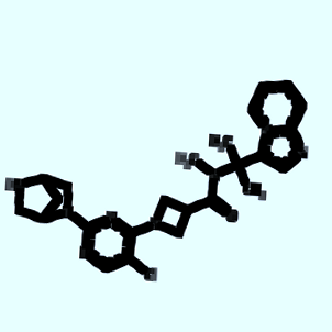 CN(C(=O)C1CN(c2nc(N3CC4CC3CN4)ncc2Cl)C1)C(C)(C)c1cnc2ccccn12